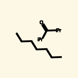 CC(C)C(=O)C(C)C.CCCCCCC